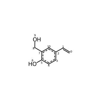 C=Cc1ccc(O)c(CO)c1